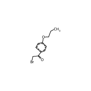 CCCOc1ccc(C(=O)CBr)cc1